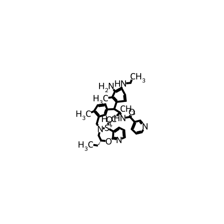 CCNc1ccc(C(c2ccc(C)c(CN3C[C@@H](CC)Oc4ncccc4[S+]3[O-])c2)C(C)(C)NC(=O)c2cccnc2)c(C)c1N